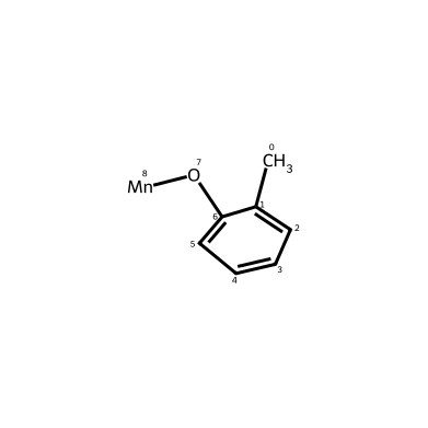 Cc1ccccc1[O][Mn]